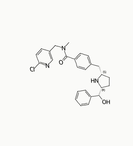 CN(Cc1ccc(Cl)nc1)C(=O)c1ccc(C[C@@H]2CC[C@H](C(O)c3ccccc3)N2)cc1